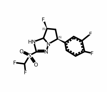 O=S(=O)(C1=NN2C(N1)[C@@H](F)C[C@H]2c1ccc(F)c(F)c1)C(F)F